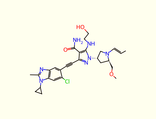 CC=CN1C[C@@H](n2nc(C#Cc3cc4nc(C)n(C5CC5)c4cc3Cl)c(C(N)=O)c2NCCO)C[C@@H]1COC